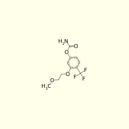 COCCOc1cc(OC(N)=O)ccc1C(F)(F)F